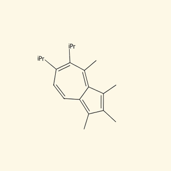 Cc1c2ccc(C(C)C)c(C(C)C)c(C)c-2c(C)c1C